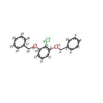 Clc1c(OCc2ccccc2)cccc1OCc1ccccc1